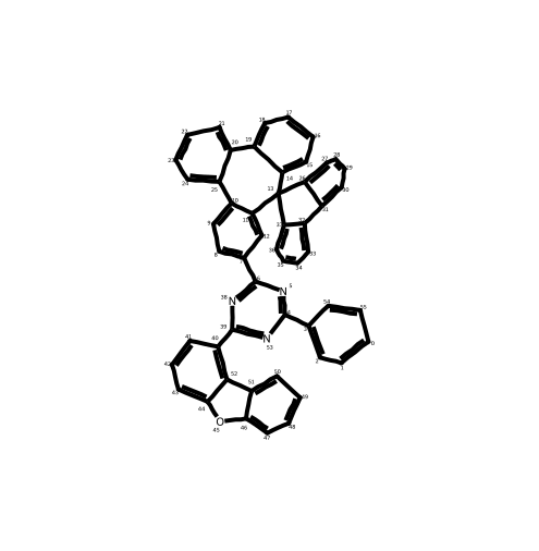 c1ccc(-c2nc(-c3ccc4c(c3)C3(c5ccccc5-c5ccccc5-4)c4ccccc4-c4ccccc43)nc(-c3cccc4oc5ccccc5c34)n2)cc1